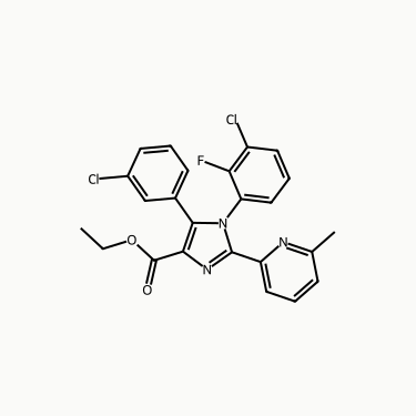 CCOC(=O)c1nc(-c2cccc(C)n2)n(-c2cccc(Cl)c2F)c1-c1cccc(Cl)c1